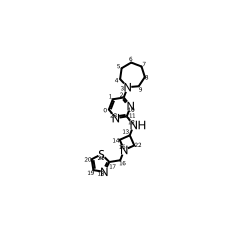 c1cc(N2CCCCCC2)nc(NC2CN(Cc3nccs3)C2)n1